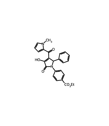 CCOC(=O)c1ccc(N2C(=O)C(O)=C(C(=O)c3cccn3C)C2c2ccccc2)cc1